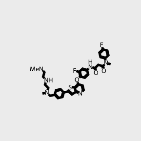 CNCCNCCN(C)Cc1ccc(-c2cc3nccc(Oc4ccc(NC(=O)CC(=O)N(C)c5ccc(F)cc5)cc4F)c3s2)cc1